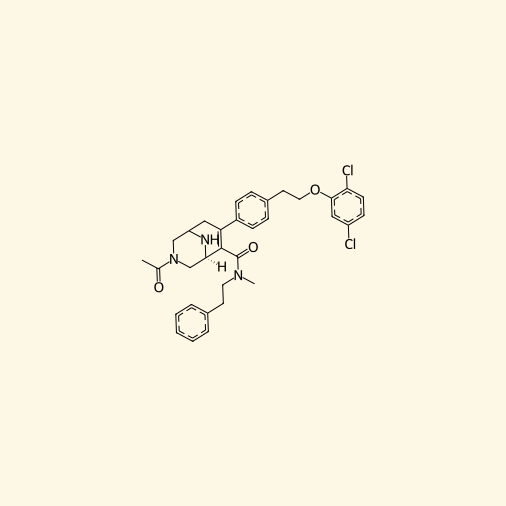 CC(=O)N1CC2CC(c3ccc(CCOc4cc(Cl)ccc4Cl)cc3)=C(C(=O)N(C)CCc3ccccc3)[C@@H](C1)N2